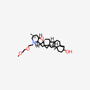 COCCOCCN1C[C@@H](C)C[C@H]2O[C@@]34CC[C@H]5[C@@H]6CCC7=C[C@@H](O)CC[C@]7(C)[C@H]6CC56CC63C[C@@H]4[C@@H]21